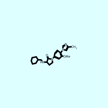 COc1cc(N2CCC(NCC3CCCCC3)C2=O)ccc1-n1cnc(C)c1